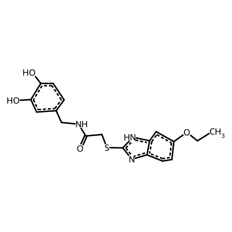 CCOc1ccc2nc(SCC(=O)NCc3ccc(O)c(O)c3)[nH]c2c1